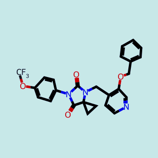 O=C1N(c2ccc(OC(F)(F)F)cc2)C(=O)C2(CC2)N1Cc1ccncc1OCc1ccccc1